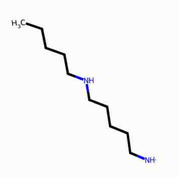 CCCCCNCCCCC[NH]